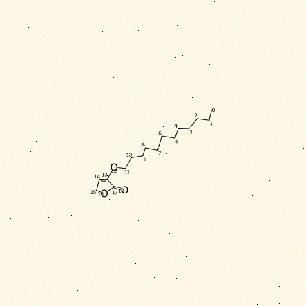 CCCCCCCCCCCCOC1=CCOC1=O